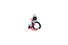 CC(C)C[C@H](NC(=O)CNC(=O)c1cc(Cl)ccc1Cl)C1(B(O)O)CCCCCCCCCCCCCC1